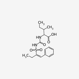 CCC(=Cc1ccccc1)S(=O)(=O)NC(=O)NC(C(=O)O)C(C)CC